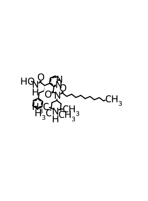 CCCCCCCCCCC(=O)N(C(=O)c1nnccc1[C@H](CCc1ccccc1)C(=O)NO)C1CC(C)(C)NC(C)(C)C1